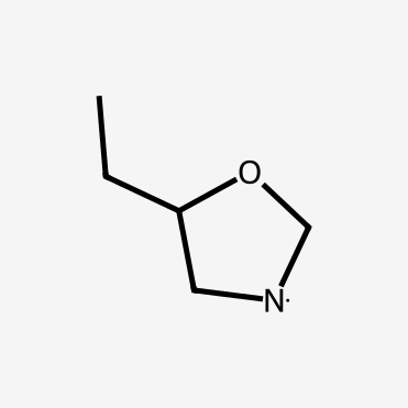 CCC1C[N]CO1